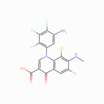 CNc1c(F)cc2c(=O)c(C(=O)O)cn(-c3cc(N)c(F)c(F)c3F)c2c1Cl